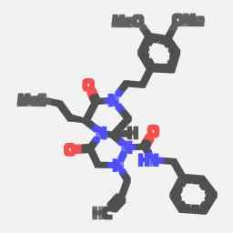 C#CCN1CC(=O)N2[C@@H](CCSC)C(=O)N(CCc3ccc(OC)c(OC)c3)C[C@@H]2N1C(=O)NCc1ccccc1